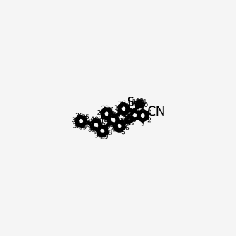 N#Cc1ccc2c(c1)C1(c3ccccc3Sc3ccc(-c4c5ccccc5c(-c5cccc6cc(-c7ccccc7)ccc56)c5ccccc45)cc31)c1ccccc1-2